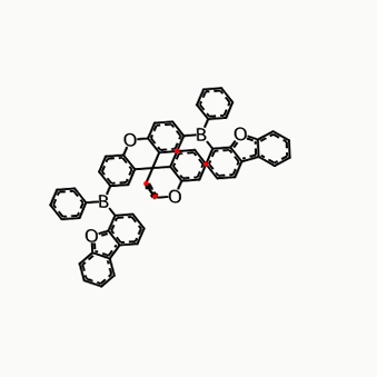 c1ccc(B(c2ccc3c(c2)C2(c4ccccc4Oc4ccccc42)c2cc(B(c4ccccc4)c4cccc5c4oc4ccccc45)ccc2O3)c2cccc3c2oc2ccccc23)cc1